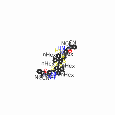 CCCCCCc1cc(C)cc(C2(c3cc(CCCCCC)cc(CCCCCC)c3)c3cc(C4=CC=C(/C=C5\C(=O)c6ccccc6C5=C(C#N)C#N)C(=N)C4=N)sc3-c3sc4c5c(sc4c32)-c2sc3cc(C4=CC=C(/C=C6\C(=O)c7ccccc7C6=C(C#N)C#N)C(=N)/C4=N\S)sc3c2C5(c2cc(C)cc(CCCCCC)c2)c2cc(CCCCCC)cc(CCCCCC)c2)c1